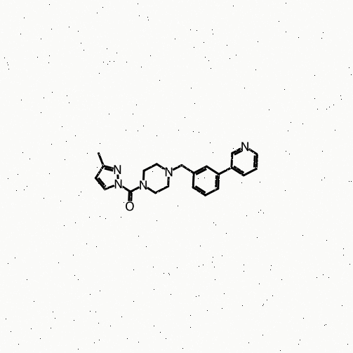 Cc1ccn(C(=O)N2CCN(Cc3cccc(-c4cccnc4)c3)CC2)n1